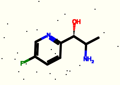 CC(N)[C@@H](O)c1ccc(F)cn1